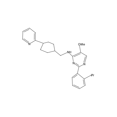 COc1cnc(-c2ccccc2C(C)C)nc1NCC1CCC(c2ccccn2)CC1